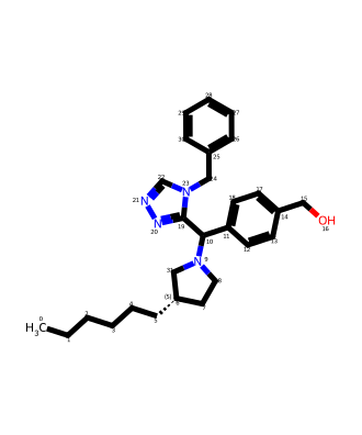 CCCCCC[C@H]1CCN(C(c2ccc(CO)cc2)c2nncn2Cc2ccccc2)C1